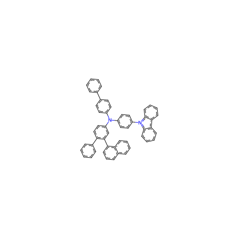 c1ccc(-c2ccc(N(c3ccc(-n4c5ccccc5c5ccccc54)cc3)c3ccc(-c4ccccc4)c(-c4cccc5ccccc45)c3)cc2)cc1